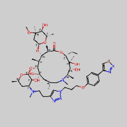 CC[C@H]1OC(=O)[C@H](C)[C@@H](O[C@H]2C[C@@](C)(OC)[C@@H](O)[C@H](C)O2)[C@H](C)[C@@H](O[C@@H]2O[C@H](C)C[C@H](N(C)CCc3cn(CCCOc4ccc(-c5csnn5)cc4)nn3)[C@H]2O)[C@](C)(O)C[C@@H](C)CN(C)[C@H](C)[C@@H](O)[C@]1(C)O